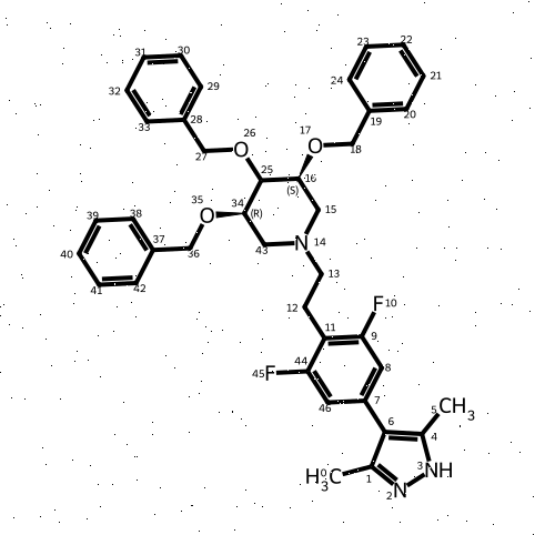 Cc1n[nH]c(C)c1-c1cc(F)c(CCN2C[C@H](OCc3ccccc3)C(OCc3ccccc3)[C@H](OCc3ccccc3)C2)c(F)c1